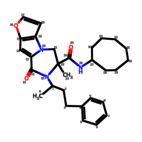 CC(CCc1ccccc1)N1C(=O)c2cc3occc3n2CC1(C)C(=O)NC1CCCCCCC1